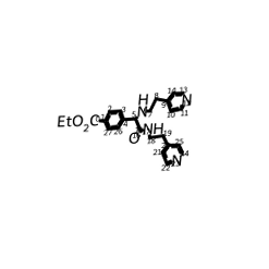 CCOC(=O)c1ccc(C(NCCc2ccncc2)C(=O)NCCc2ccncc2)cc1